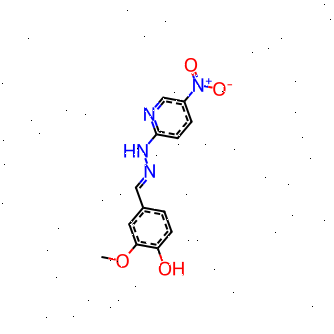 COc1cc(C=NNc2ccc([N+](=O)[O-])cn2)ccc1O